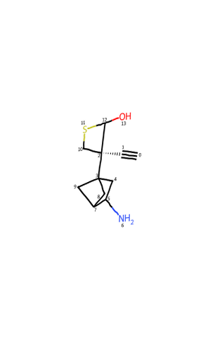 C#C[C@]1(C23CC(N)C(C2)C3)CSC1O